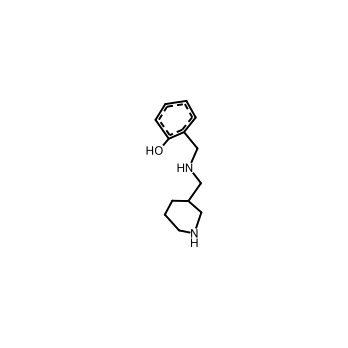 Oc1ccccc1CNCC1CCCNC1